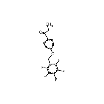 CCC(=O)c1ccc(OCc2c(F)c(F)c(F)c(F)c2F)cc1